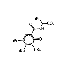 CCCCc1c(CCC)cc(C(=O)N[C@H](C(=O)O)C(C)C)c(=O)n1CCCC